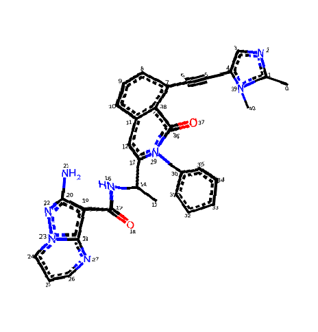 Cc1ncc(C#Cc2cccc3cc(C(C)NC(=O)c4c(N)nn5cccnc45)n(-c4ccccc4)c(=O)c23)n1C